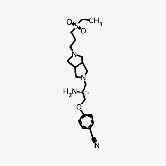 CCS(=O)(=O)CCCN1CC2CN(C[C@H](N)COc3ccc(C#N)cc3)CC2C1